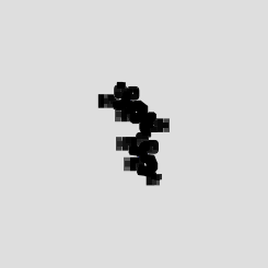 COC(=O)/C(C=N)=C1\C=CC(C(C)(O)CCOC(=O)/C(C=N)=C2\C=CC(Br)=CN2)=CN1